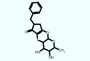 CC1OC2OC3=C(SC2C(O)C1O)C(=O)C(Cc1ccccc1)C3